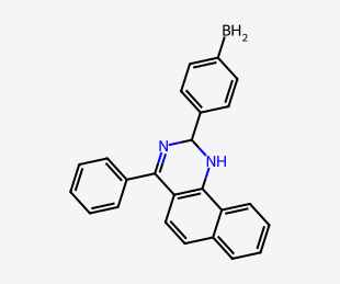 Bc1ccc(C2N=C(c3ccccc3)c3ccc4ccccc4c3N2)cc1